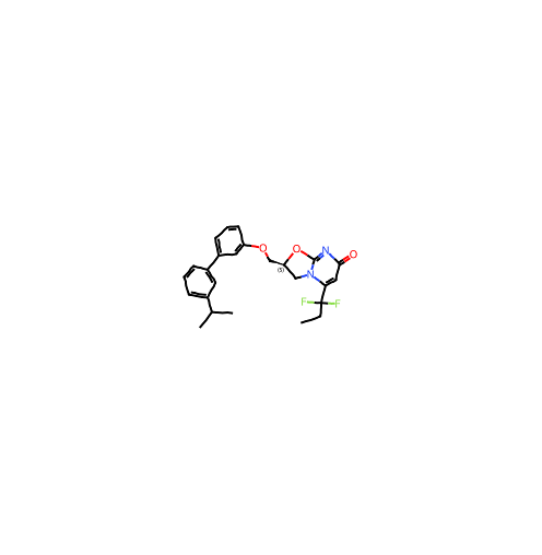 CCC(F)(F)c1cc(=O)nc2n1C[C@@H](COc1cccc(-c3cccc(C(C)C)c3)c1)O2